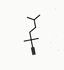 C#CC(C)(C)CCC(C)C